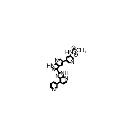 CS(=O)(=O)Nc1cncc(-c2cnc3[nH]nc(-c4nc5c(-c6cccnc6)ccnc5[nH]4)c3c2)c1